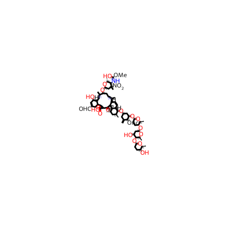 C=C1C[C@H](O[C@@H]2[C@H]3C=C[C@H]4/C(C)=C/C[C@H](O[C@H]5C[C@](C)([N+](=O)[O-])[C@@H](N[C@@H](O)OC)[C@@H](C)O5)/C(C)=C/[C@@H]5[C@@H](O)C=C(C=O)CC56OC(=O)C(=C6O)C(=O)[C@@]4(C)[C@@H]3[C@@H](C)C[C@@H]2C)C[C@@H](O[C@H]2CCC(O[C@H]3C[C@@H](O)C(O[C@H]4CC[C@@H](O)[C@H](C)O4)[C@H](C)O3)[C@H](C)O2)[C@H]1OC(C)=O